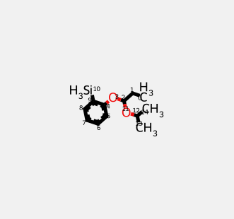 CCC(Oc1ccccc1[SiH3])OC(C)C